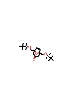 CC(C)(C)[Si](C)(C)OCC12C=CC(CO[Si](C)(C)C(C)(C)C)(CC(=O)C1)O2